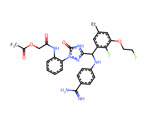 CCc1cc(OCCF)c(F)c(C(Nc2ccc(C(=N)N)cc2)c2nn(-c3ccccc3NC(=O)COC(=O)C(F)(F)F)c(=O)[nH]2)c1